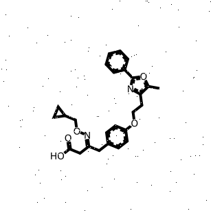 Cc1oc(-c2ccccc2)nc1CCOc1ccc(CC(CC(=O)O)=NOCC2CC2)cc1